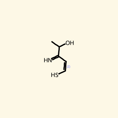 CC(O)C(=N)/C=C\S